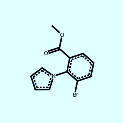 COC(=O)c1cccc(Br)c1-n1cccc1